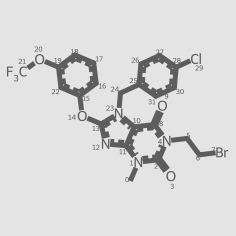 Cn1c(=O)n(CCBr)c(=O)c2c1nc(Oc1cccc(OC(F)(F)F)c1)n2Cc1ccc(Cl)cc1